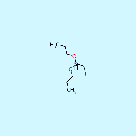 CCCO[SiH](CI)OCCC